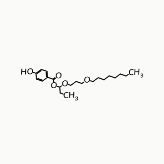 CCCCCCCCOCCCOC(CC)OC(=O)c1ccc(O)cc1